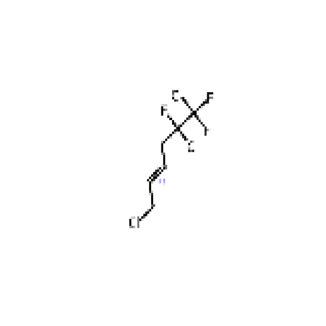 FC(F)(Cl)C(F)(Cl)C/C=C/CCl